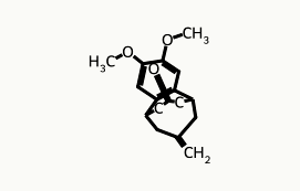 C=C1CC2CC(=O)CC(C1)c1cc(OC)c(OC)cc12